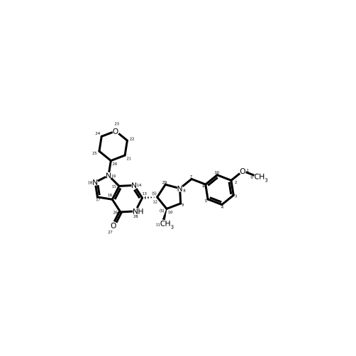 COc1cccc(CN2C[C@@H](C)[C@H](c3nc4c(cnn4C4CCOCC4)c(=O)[nH]3)C2)c1